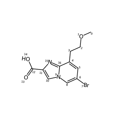 COCCc1cc(Br)cn2cc(C(=O)O)nc12